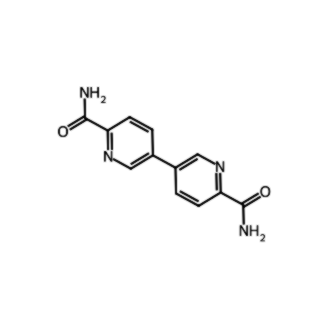 NC(=O)c1ccc(-c2ccc(C(N)=O)nc2)cn1